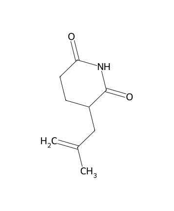 C=C(C)CC1CCC(=O)NC1=O